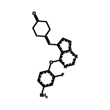 Nc1ccc(Oc2ncnn3ccc(C=C4CCC(=O)CC4)c23)c(F)c1